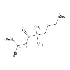 CCCCCCCCCCCCCC(C)(C)C(=O)OC(CC)CCCCC